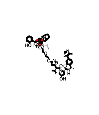 Cc1ncsc1-c1ccc([C@H](C)NC(=O)[C@@H]2C[C@@H](O)CN2C(=O)[C@@H](c2cc(OCCOCCOc3cc(N4C5CCC4CN(c4cc(-c6ccccc6O)nnc4N)C5)ccn3)no2)C(C)C)cc1